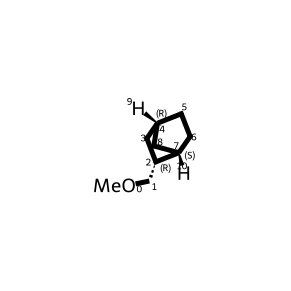 COC[C@@H]1C[C@@H]2CC[C@H]1C2